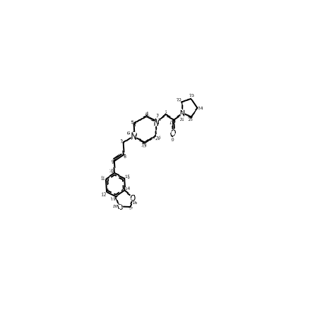 O=C(CN1CCN(CC=Cc2ccc3c(c2)OCO3)CC1)N1CCCC1